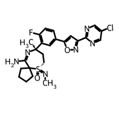 CN=[S@]1(=O)CC[C@@](C)(c2cc(-c3cc(-c4ncc(Cl)cn4)no3)ccc2F)N=C(N)C12CCCC2